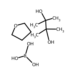 C1CCOC1.CC(C)(O)C(C)(C)O.OB(O)O